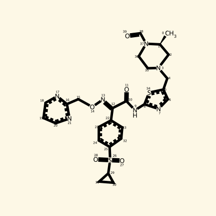 C[C@H]1CN(Cc2cnc(NC(=O)/C(=N/OCc3ncccn3)c3ccc(S(=O)(=O)C4CC4)cc3)s2)CCN1C=O